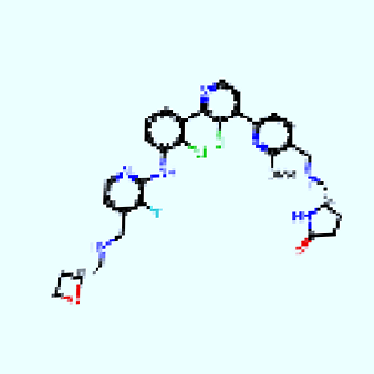 COc1nc(-c2ccnc(-c3cccc(Nc4nccc(CNC[C@H]5CCO5)c4F)c3Cl)c2Cl)ccc1CNC[C@@H]1CCC(=O)N1